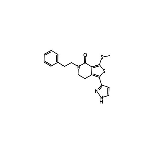 CSc1sc(-c2cc[nH]n2)c2c1C(=O)N(CCc1ccccc1)CC2